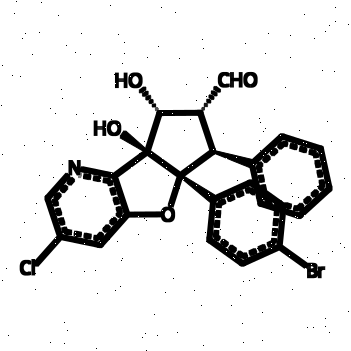 O=C[C@H]1[C@@H](O)[C@@]2(O)c3ncc(Cl)cc3O[C@@]2(c2ccc(Br)cc2)[C@@H]1c1ccccc1